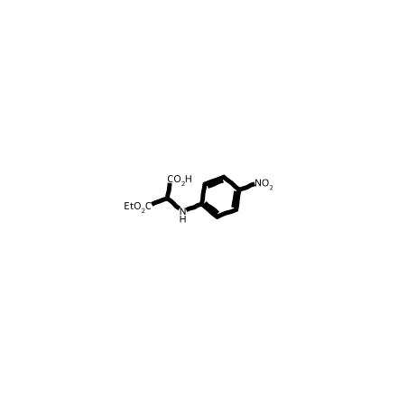 CCOC(=O)C(Nc1ccc([N+](=O)[O-])cc1)C(=O)O